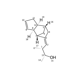 C[C@H](/C=C1/C[C@@H]2C[C@H]1[C@H]1C=CC[C@@H]21)[C@@H](C)O